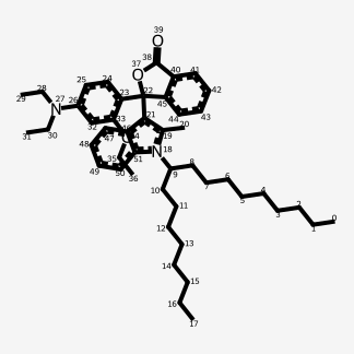 CCCCCCCCCC(CCCCCCCC)n1c(C)c(C2(c3ccc(N(CC)CC)cc3OCC)OC(=O)c3ccccc32)c2ccccc21